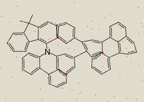 CC1(C)c2ccccc2-c2c(N(c3cccc(-c4ccc(-c5cccc6cccc(-c7ccccc7)c56)cc4-c4ccccc4)c3)c3ccccc3-c3ccccc3)cccc21